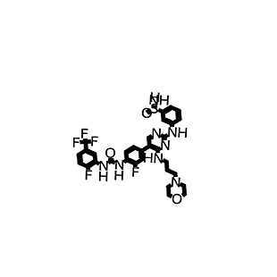 N=[SH](=O)c1cccc(Nc2ncc(-c3ccc(NC(=O)Nc4cc(C(F)(F)F)ccc4F)c(F)c3)c(NCCCN3CCOCC3)n2)c1